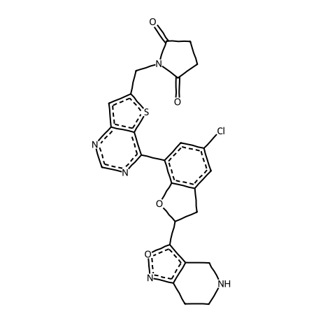 O=C1CCC(=O)N1Cc1cc2ncnc(-c3cc(Cl)cc4c3OC(c3onc5c3CNCC5)C4)c2s1